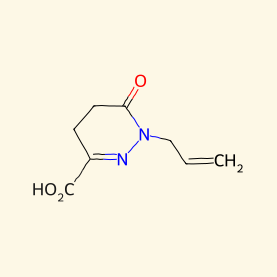 C=CCN1N=C(C(=O)O)CCC1=O